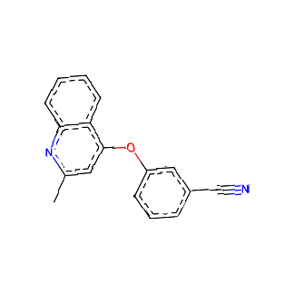 Cc1cc(Oc2cccc(C#N)c2)c2ccccc2n1